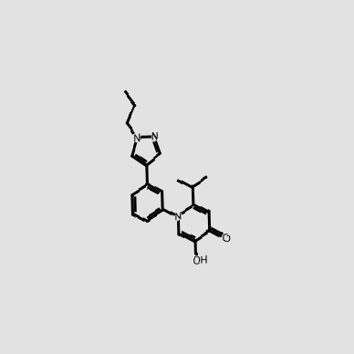 CCCn1cc(-c2cccc(-n3cc(O)c(=O)cc3C(C)C)c2)cn1